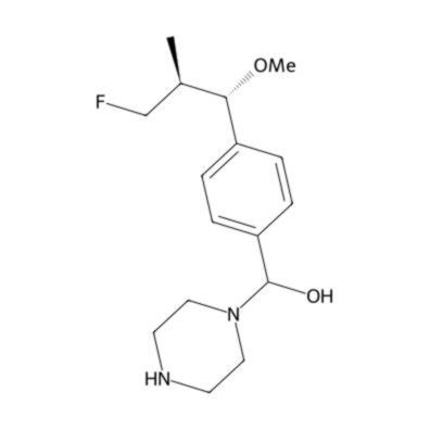 CO[C@H](c1ccc(C(O)N2CCNCC2)cc1)[C@H](C)CF